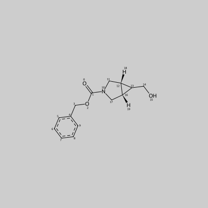 O=C(OCc1ccccc1)N1C[C@@H]2C(CO)[C@@H]2C1